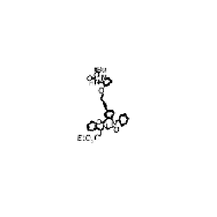 CCOC(=O)CC(c1ccccc1)N1CC(=O)N(c2ccccc2)c2ccc(C#CCCOc3cccnc3NC(=O)OC(C)(C)C)cc2C1=O